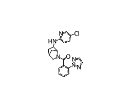 O=C(c1ccccc1-n1nccn1)N1CC2CC(Nc3ccc(Cl)cn3)C1C2